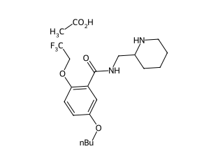 CC(=O)O.CCCCOc1ccc(OCC(F)(F)F)c(C(=O)NCC2CCCCN2)c1